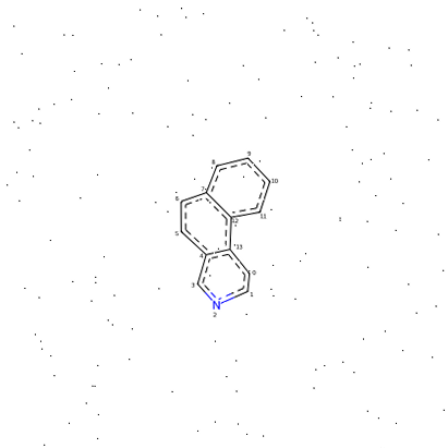 [c]1cncc2ccc3ccccc3c12